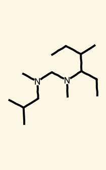 CCC(C)C(CC)N(C)CN(C)CC(C)C